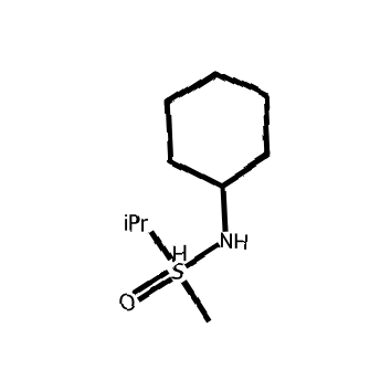 CC(C)[SH](C)(=O)NC1CCCCC1